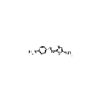 Nc1ccc(N=Nc2ncc([N+](=O)[O-])s2)cc1